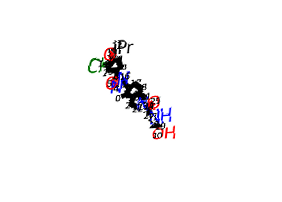 Cc1c(-c2noc(-c3ccc(OC(C)C)c(Cl)c3)n2)ccc2c1CCN(C(=O)CNCCO)C2